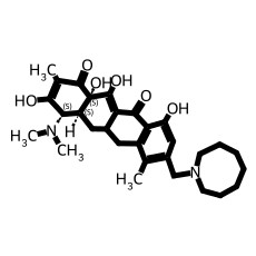 CC1=C(O)[C@@H](N(C)C)[C@@H]2CC3Cc4c(C)c(CN5CCCCCCC5)cc(O)c4C(=O)C3=C(O)[C@]2(O)C1=O